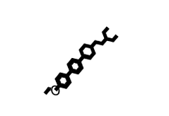 CCOc1ccc(-c2ccc(C3=CCC(CCC(CC)CC)CC3)cc2)cc1